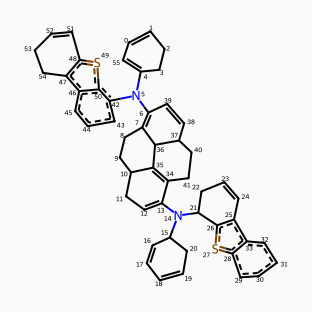 C1=CCCC(N(C2=C3CCC4CC=C(N(C5C=CC=CC5)C5CC=Cc6c5sc5ccccc65)C5=C4C3C(C=C2)CC5)c2cccc3c4c(sc23)C=CCC4)=C1